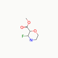 COC(=O)C1OCC[N]C1F